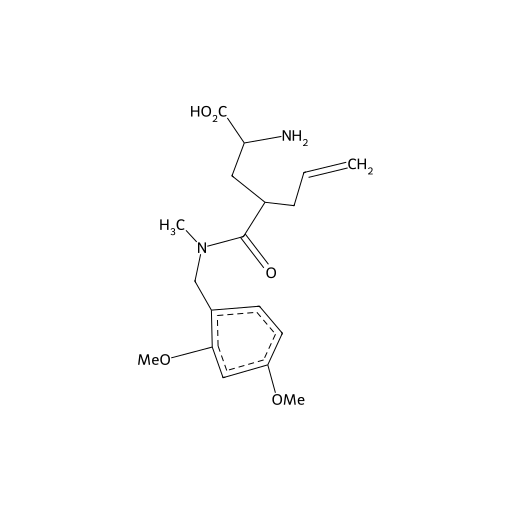 C=CCC(CC(N)C(=O)O)C(=O)N(C)Cc1ccc(OC)cc1OC